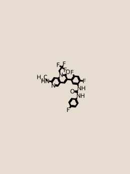 CNc1cc2c(cn1)cc(-c1cc(NC(=O)Nc3ccc(F)cc3)c(F)cc1F)c(=O)n2CC(F)(F)F